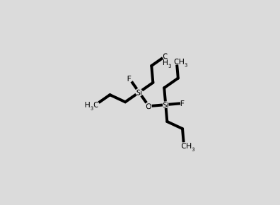 CCC[Si](F)(CCC)O[Si](F)(CCC)CCC